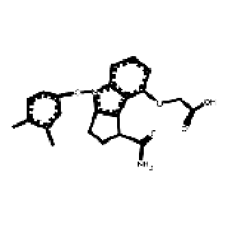 Cc1ccc(Cn2c3c(c4c(OCC(=O)O)cccc42)C(C(N)=O)CC3)cc1C